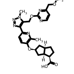 COCc1ccnc(OCc2c(-c3ccc(O[C@H]4C[C@H]5CC[C@@H](C(=O)O)[C@H]5C4)c(C)n3)nnn2C)n1